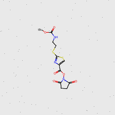 CC(C)(C)OC(=O)NCCSc1nc(C(=O)ON2C(=O)CCC2=O)cs1